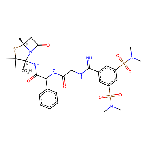 CN(C)S(=O)(=O)c1cc(C(=N)NCC(=O)NC(C(=O)N[C@@]2(C(=O)O)N3C(=O)C[C@H]3SC2(C)C)c2ccccc2)cc(S(=O)(=O)N(C)C)c1